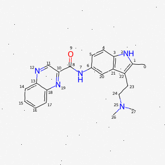 Cc1[nH]c2ccc(NC(=O)c3cnc4ccccc4n3)cc2c1CCN(C)C